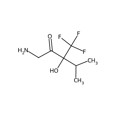 CC(C)C(O)(C(=O)CN)C(F)(F)F